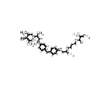 C=C(C)C(=O)OCCCOC(C)COc1ccc(Cc2ccc(OCC(C)OCC(C)C(CC)=C(C)C(=O)O)cc2)cc1